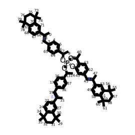 C/C(=C\c1ccc(C(C)OP(=O)(OC(C)c2ccc(/C=C(\C)c3ccc4c(c3)C(C)(C)CCC4(C)C)cc2)OC(C)c2ccc(/C=C(\C)c3ccc4c(c3)C(C)(C)CCC4(C)C)cc2)cc1)c1ccc2c(c1)C(C)(C)CCC2(C)C